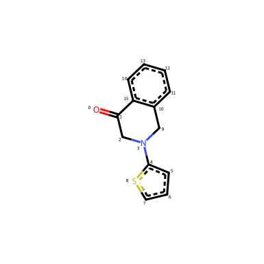 O=C1CN(c2cccs2)Cc2ccccc21